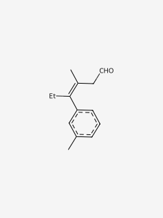 CC/C(=C(\C)CC=O)c1cccc(C)c1